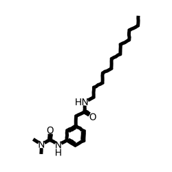 CCCCCCCCCCCCNC(=O)Cc1cccc(NC(=O)N(C)C)c1